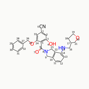 N#Cc1cc(O)c(C(=O)N2Cc3cccc(NCC4CCOC4)c3C2)c(OCc2ccccc2)c1